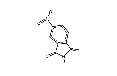 O=C1c2ccc([N+](=O)[O-])cc2C(=O)N1I